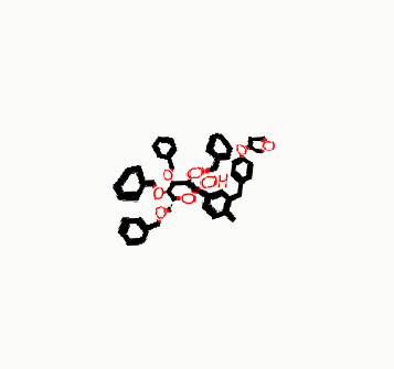 Cc1ccc([C@]2(O)O[C@H](COCc3ccccc3)[C@@H](OCc3ccccc3)[C@H](OCc3ccccc3)[C@H]2OCc2ccccc2)cc1Cc1ccc(OC2CCOC2)cc1